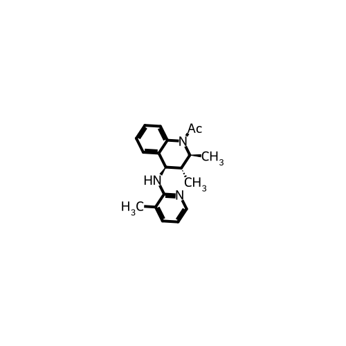 CC(=O)N1c2ccccc2[C@H](Nc2ncccc2C)[C@@H](C)[C@@H]1C